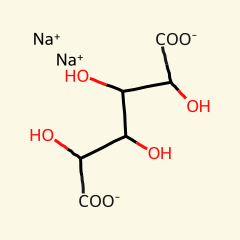 O=C([O-])C(O)C(O)C(O)C(O)C(=O)[O-].[Na+].[Na+]